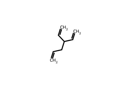 C=CCC(C=C)C=C